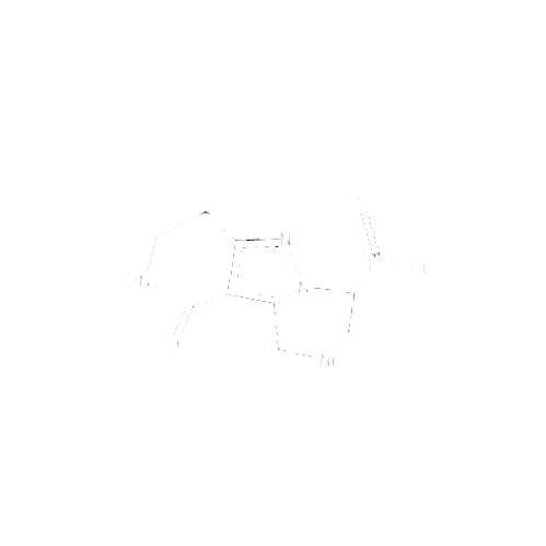 O=C1NCCc2nn3c(c21)CNCC3C(=O)O